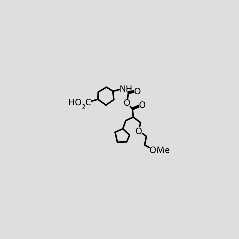 COCCOCC(CC1CCCC1)C(=O)OC(=O)NC1CCC(C(=O)O)CC1